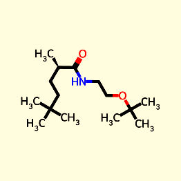 C[C@H](CCC(C)(C)C)C(=O)NCCOC(C)(C)C